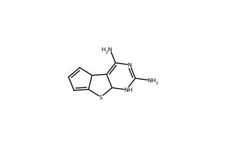 NC1=NC(N)=C2C(N1)SC1=CC=CC12